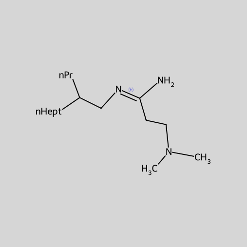 CCCCCCCC(CCC)C/N=C(/N)CCN(C)C